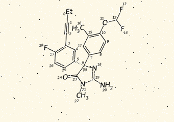 CCC#Cc1cc([C@]2(c3ccc(OC(F)F)c(C)c3)N=C(N)N(C)C2=O)ccc1F